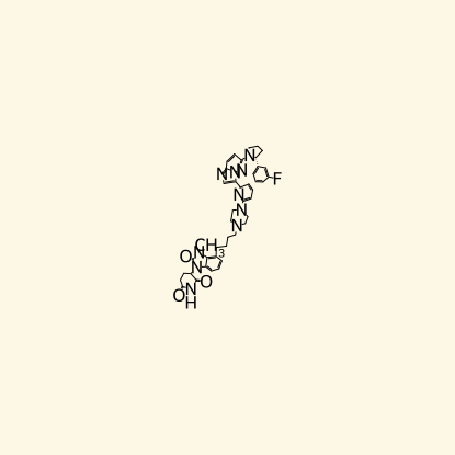 Cn1c(=O)n(C2CCC(=O)NC2=O)c2cccc(CCCCN3CCN(c4cccc(-c5cnc6ccc(N7CCC[C@@H]7c7cccc(F)c7)nn56)n4)CC3)c21